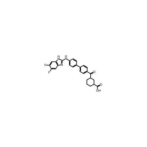 O=C(O)C1CCCC(C(=O)c2ccc(-c3ccc(Nc4nc5cc(F)c(F)cc5[nH]4)cc3)cc2)C1